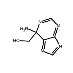 NC1(CO)N=CN=C2N=CN=C21